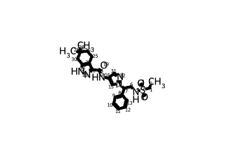 CCS(=O)(=O)NCC(c1ccccc1)n1cc(NC(=O)c2n[nH]c3c2CCC(C)(C)C3)cn1